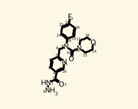 NNC(=O)c1ccc(CN(C(=O)N2CCOCC2)c2ccc(F)cc2)nc1